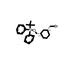 CC(C)(C)[Si](OC[C@H]1CCC[C@@H](CBr)C1)(c1ccccc1)c1ccccc1